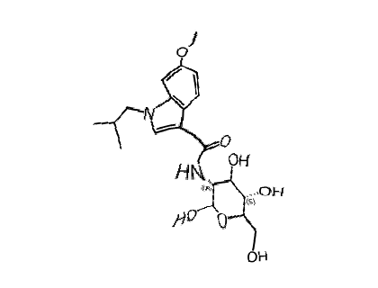 COc1ccc2c(C(=O)N[C@H]3C(O)OC(CO)[C@@H](O)C3O)cn(CC(C)C)c2c1